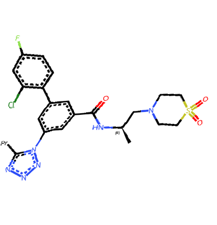 CC(C)c1nnnn1-c1cc(C(=O)N[C@H](C)CN2CCS(=O)(=O)CC2)cc(-c2ccc(F)cc2Cl)c1